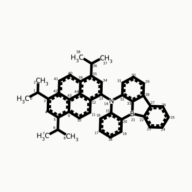 CC(C)c1cc(C(C)C)c2ccc3c(N4c5ccccc5B5c6ccccc6-c6cccc4c65)cc(C(C)C)c4ccc1c2c43